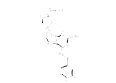 Nc1nc(NCc2ccccc2)c2ncn([C@H]3C=C[C@@H](CO)C3)c2n1